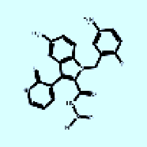 Cc1ccc2c(c1)c(-c1ccc[nH]c1=O)c(C(=O)N[S+]([O-])C(C)C)n2Cc1cc([N+](=O)[O-])ccc1F